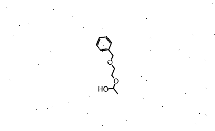 CC(O)OCCOCc1ccccc1